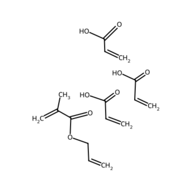 C=CC(=O)O.C=CC(=O)O.C=CC(=O)O.C=CCOC(=O)C(=C)C